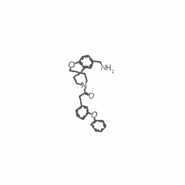 NCc1ccc2c(c1)C1(CCN(C(=O)Cc3cccc(Oc4ccccc4)c3)CC1)CO2